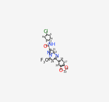 O=C(Nc1ccc(Cl)cc1)c1cc2nc(-c3ccc4c(c3)OCO4)cc(C(F)(F)F)n2n1